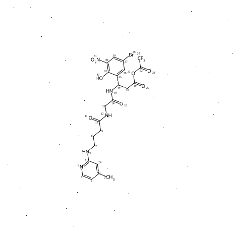 Cc1ccnc(NCCCC(=O)NCC(=O)NC(CC(=O)OC(=O)C(F)(F)F)c2cc(Br)cc([N+](=O)[O-])c2O)c1